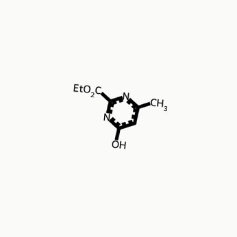 CCOC(=O)c1nc(C)cc(O)n1